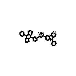 c1ccc(-c2c3ccccc3c(-c3cccc(-c4cc(-c5ccc6c(c5)c5cnccc5n6-c5ccccc5)ncn4)c3)c3ccccc23)cc1